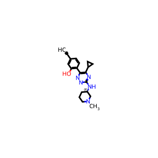 C#Cc1ccc(-c2nnc(N[C@@H]3CCCN(C)C3)nc2C2CC2)c(O)c1